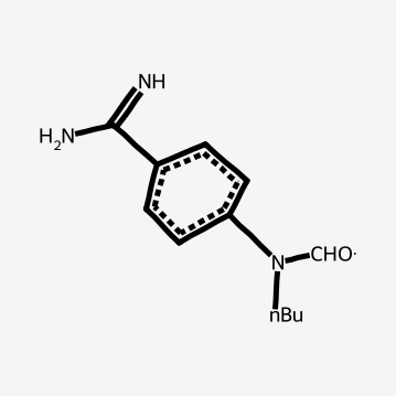 CCCCN([C]=O)c1ccc(C(=N)N)cc1